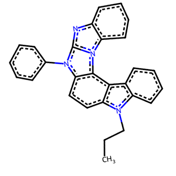 CCCn1c2ccccc2c2c1ccc1c2n2c3ccccc3nc2n1-c1ccccc1